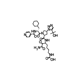 CC(C)(O)c1cnnn1[C@H]1C[C@@H](C(=O)NC(CCCCNC(=O)O)C(=O)C(N)=O)N(C(=O)[C@@H](CC2CCCCC2)NC(=O)c2ccncc2)C1